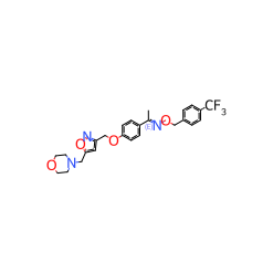 C/C(=N\OCc1ccc(C(F)(F)F)cc1)c1ccc(OCc2cc(CN3CCOCC3)on2)cc1